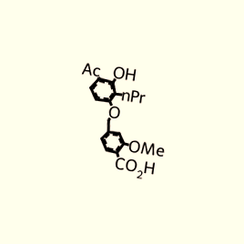 CCCc1c(OCc2ccc(C(=O)O)c(OC)c2)ccc(C(C)=O)c1O